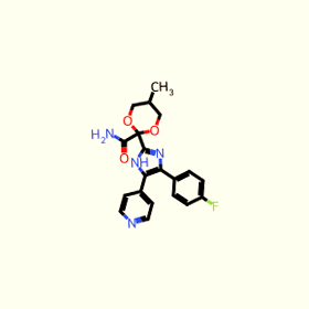 C[C]1COC(C(N)=O)(c2nc(-c3ccc(F)cc3)c(-c3ccncc3)[nH]2)OC1